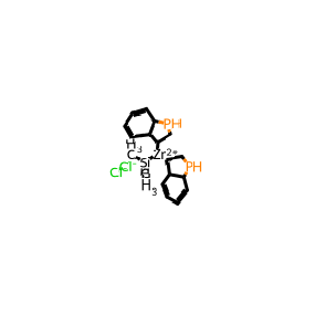 C[SiH](C)[Zr+2]([CH]1CPC2C=CC=CC21)[CH]1CPC2C=CC=CC21.[Cl-].[Cl-]